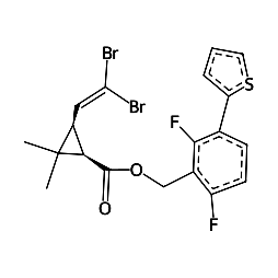 CC1(C)[C@H](C(=O)OCc2c(F)ccc(-c3cccs3)c2F)[C@@H]1C=C(Br)Br